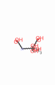 CC(CO)(CO)C(CO)(CCCCCCCC/C=C\CCCCCCCC(=O)O)CCCCCCCCC(=O)O